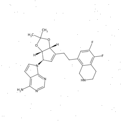 CC1(C)O[C@@H]2[C@H](O1)C(CCc1cc(F)c(F)c3c1CNCC3)=C[C@H]2n1ccc2c(N)ncnc21